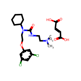 CN(C)CCNC(=O)N(CCOc1cc(Cl)cc(Cl)c1)C1CCCCC1.O=C(O)C=CC(=O)O